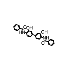 O=C(Nc1ccc(-c2ccc(NC(=O)c3ccccc3)c(O)c2)cc1O)c1ccccc1